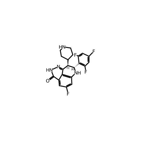 O=c1[nH]nc2c3c(cc(F)cc13)N[C@@H](c1c(F)cc(F)cc1F)[C@@H]2C1CCNCC1